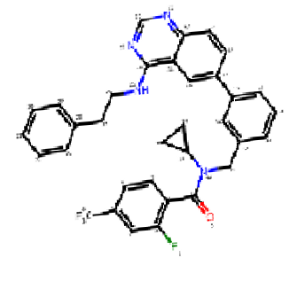 O=C(c1ccc(C(F)(F)F)cc1F)N(Cc1cccc(-c2ccc3ncnc(NCCc4ccccc4)c3c2)c1)C1CC1